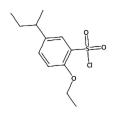 CCOc1ccc(C(C)CC)cc1S(=O)(=O)Cl